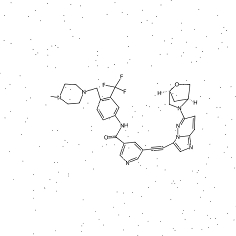 CN1CCN(Cc2ccc(NC(=O)c3cncc(C#Cc4cnc5ccc(N6C[C@@H]7C[C@H]6CO7)nn45)c3)cc2C(F)(F)F)CC1